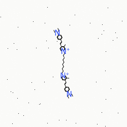 CCN(CC)c1ccc(/C=C/c2cc[n+](CCCCCCCCCC[n+]3ccc(/C=C/c4ccc(N(CC)CC)cc4)c(C)c3)cc2C)cc1